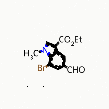 CCOC(=O)c1cn(C)c2c(Br)cc(C=O)cc12